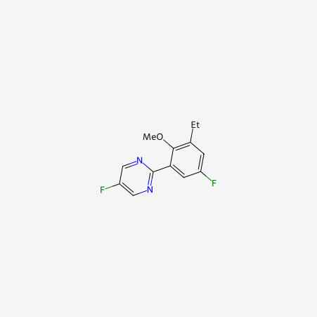 CCc1cc(F)cc(-c2ncc(F)cn2)c1OC